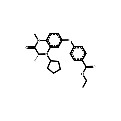 CCOC(=O)c1ccc(Oc2ccc3c(c2)N(C2CCCC2)[C@H](C)C(=O)N3C)cc1